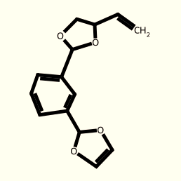 C=CC1COC(c2cccc(C3OC=CO3)c2)O1